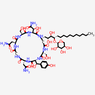 CCCCCCCCCCC[C@H](O[C@@H]1OC[C@@H](O)[C@H](O)[C@H]1O)[C@H](O)[C@H](O)C[C@@H]1CC(=O)N[C@H](CO)C(=O)N[C@H]([C@H](O)c2ccc(O)cc2)C(=O)N[C@H](CC(N)=O)C(=O)NCC(=O)N[C@@H](CC(N)=O)C(=O)N[C@@H](CO)C(=O)N[C@@H]([C@H](O)C(N)=O)C(=O)N1